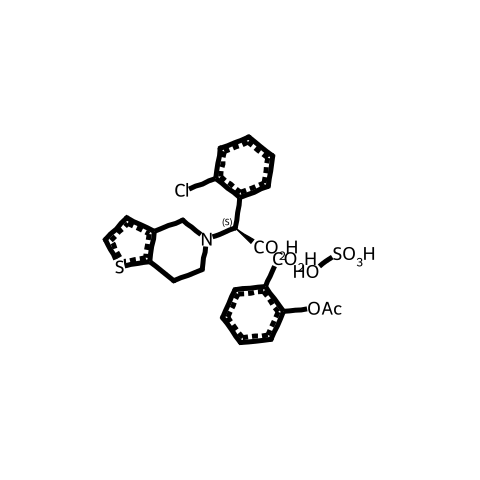 CC(=O)Oc1ccccc1C(=O)O.O=C(O)[C@H](c1ccccc1Cl)N1CCc2sccc2C1.O=S(=O)(O)O